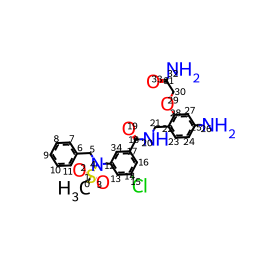 CS(=O)(=O)N(Cc1ccccc1)c1cc(Cl)cc(C(=O)NCc2ccc(N)cc2OCC(N)=O)c1